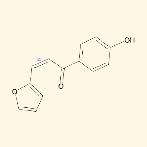 O=C(/C=C\c1ccco1)c1ccc(O)cc1